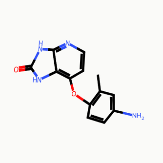 Cc1cc(N)ccc1Oc1ccnc2[nH]c(=O)[nH]c12